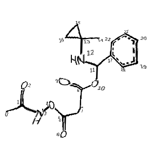 CC(=O)NOC(=O)CC(=O)OC(NC1(C)CC1)c1ccccc1